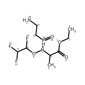 CCOC(=O)C(C)N(OC(F)C(F)F)[PH](=O)CCN